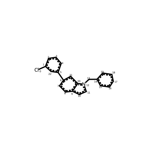 Clc1cccc(-c2ccc3[c]cn(Cc4ccccc4)c3c2)c1